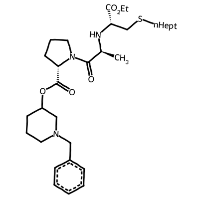 CCCCCCCSC[C@H](N[C@@H](C)C(=O)N1CCC[C@H]1C(=O)OC1CCCN(Cc2ccccc2)C1)C(=O)OCC